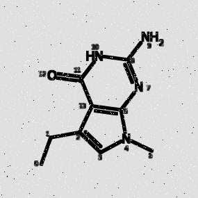 CCc1cn(C)c2nc(N)[nH]c(=O)c12